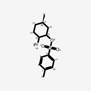 Cc1ccc(S(=O)(=O)OC2C[C@H](C)CCC2C(C)C)cc1